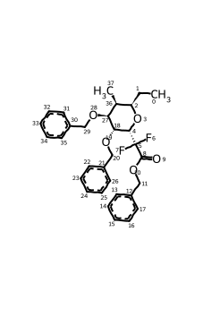 CC[C@H]1O[C@H](C(F)(F)C(=O)OCc2ccccc2)[C@H](OCc2ccccc2)[C@@H](OCc2ccccc2)[C@H]1C